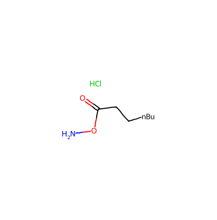 CCCCCCC(=O)ON.Cl